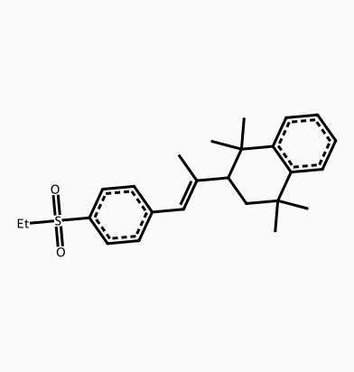 CCS(=O)(=O)c1ccc(C=C(C)C2CC(C)(C)c3ccccc3C2(C)C)cc1